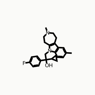 Cc1ccc2c(c1)c1c(n2CC(O)(c2ccc(F)cc2)C2CC2)CCN(C)CC1